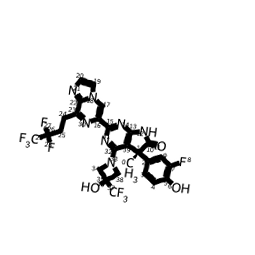 C[C@]1(c2ccc(O)c(F)c2)C(=O)Nc2nc(-c3cn4ccnc4c(CCC(F)(F)C(F)(F)F)n3)nc(N3CC(O)(C(F)(F)F)C3)c21